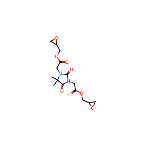 CC1(C)C(=O)N(CC(=O)OCC2CO2)C(=O)N1CC(=O)OCC1CO1